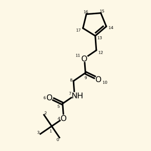 CC(C)(C)OC(=O)NCC(=O)OCC1=CCCC1